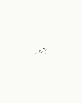 [Cu].[Cu].[I].[I]